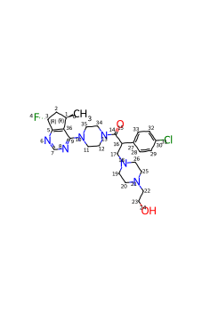 C[C@@H]1C[C@@H](F)c2ncnc(N3CCN(C(=O)C(CN4CCN(CCO)CC4)c4ccc(Cl)cc4)CC3)c21